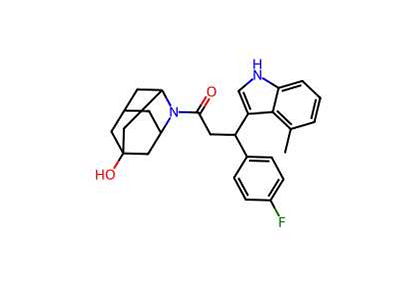 Cc1cccc2[nH]cc(C(CC(=O)N3C4CC5CC3CC(O)(C5)C4)c3ccc(F)cc3)c12